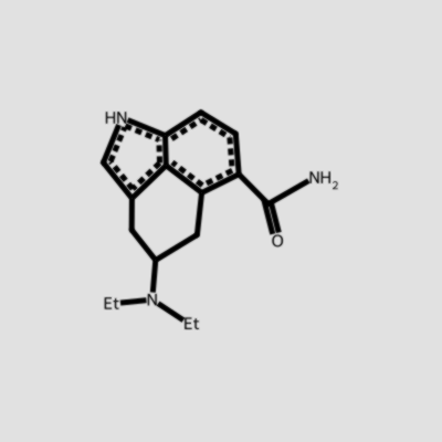 CCN(CC)C1Cc2c[nH]c3ccc(C(N)=O)c(c23)C1